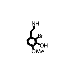 COc1ccc(CC=N)c(Br)c1O